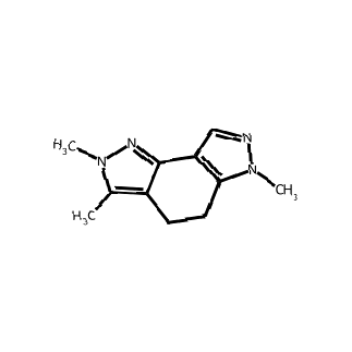 Cc1c2c(nn1C)-c1cnn(C)c1CC2